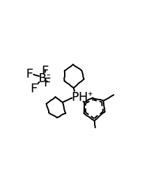 Cc1cc(C)cc([PH+](C2CCCCC2)C2CCCCC2)c1.F[B-](F)(F)F